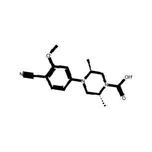 COc1cc(N2C[C@@H](C)N(C(=O)O)C[C@@H]2C)ccc1C#N